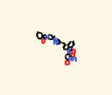 CC1(C(=O)N2CCC(C)(n3cc(Cc4ccc5c6c(cccc46)C(=O)N5C4CCC(=O)NC4=O)cn3)CC2)CCCCC1